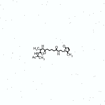 C=C1C=CC(=O)N1CCNC(=O)CCCCC(=O)N[C@@H](C)C(=O)N[C@@H](C)C(C)=O